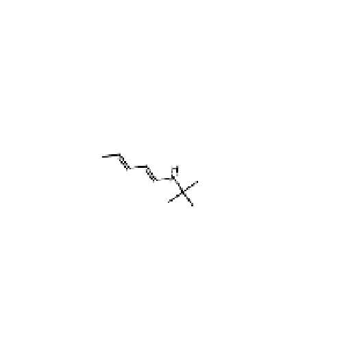 CC=CC=CNC(C)(C)C